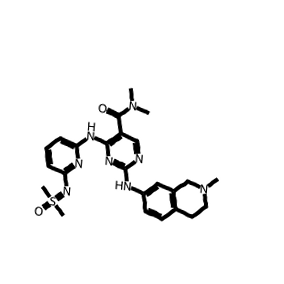 CN1CCc2ccc(Nc3ncc(C(=O)N(C)C)c(Nc4cccc(N=S(C)(C)=O)n4)n3)cc2C1